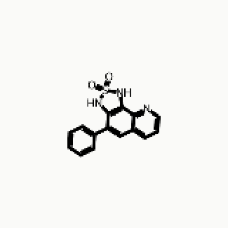 O=S1(=O)Nc2c(-c3ccccc3)cc3cccnc3c2N1